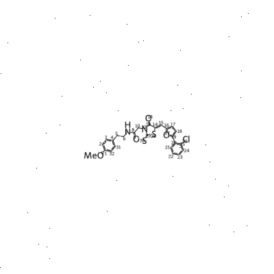 COc1ccc(CCNC(=O)CN2C(=O)C(=Cc3ccc(-c4ccccc4Cl)o3)SC2=S)cc1